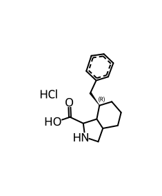 Cl.O=C(O)C1NCC2CCC[C@H](Cc3ccccc3)C21